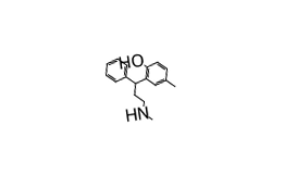 CNCCC(c1ccccc1)c1cc(C)ccc1O